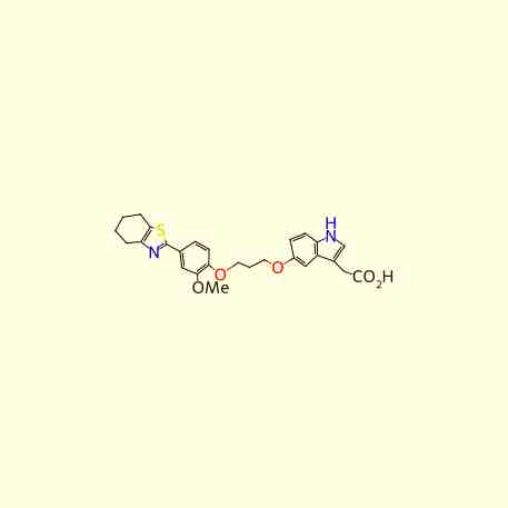 COc1cc(-c2nc3c(s2)CCCC3)ccc1OCCCOc1ccc2[nH]cc(CC(=O)O)c2c1